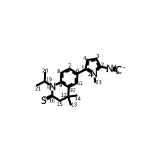 [C-]#[N+]c1ccc(-c2ccc3c(c2)C(C)(C)CC(=S)N3C(C)C)n1C